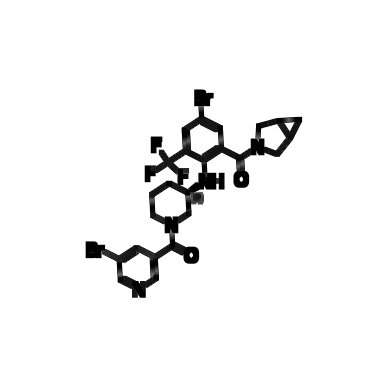 O=C(c1cncc(Br)c1)N1CCC[C@@H](Nc2c(C(=O)N3CC4CC4C3)cc(Br)cc2C(F)(F)F)C1